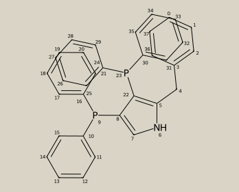 c1ccc(Cc2[nH]cc(P(c3ccccc3)c3ccccc3)c2P(c2ccccc2)c2ccccc2)cc1